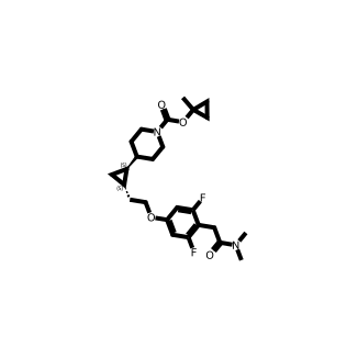 CN(C)C(=O)Cc1c(F)cc(OCC[C@@H]2C[C@H]2C2CCN(C(=O)OC3(C)CC3)CC2)cc1F